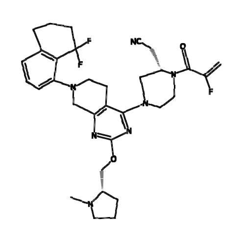 C=C(F)C(=O)N1CCN(c2nc(OC[C@@H]3CCCN3C)nc3c2CCN(c2cccc4c2C(F)(F)CCC4)C3)C[C@@H]1CC#N